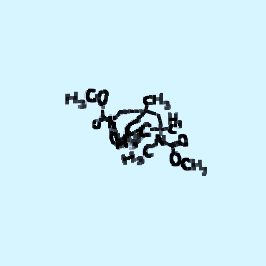 COC(=O)N(C)CC(C)(C)CC(C)(C)N(C)C(=O)OC